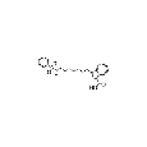 O=C(O)c1cc(CCCCCCCNS(=O)(=O)c2ccccc2)c2cccccc1-2